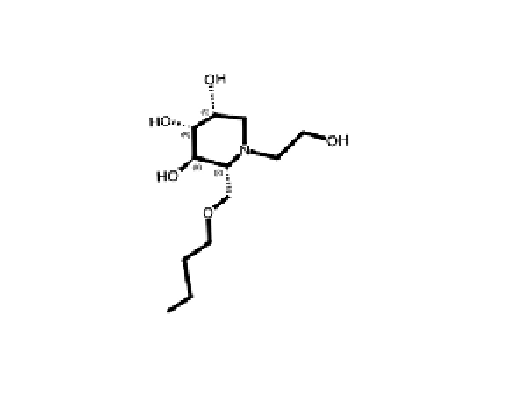 CCCCOC[C@@H]1[C@@H](O)[C@H](O)[C@H](O)CN1CCO